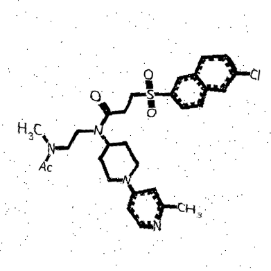 CC(=O)N(C)CCN(C(=O)CCS(=O)(=O)c1ccc2cc(Cl)ccc2c1)C1CCN(c2ccnc(C)c2)CC1